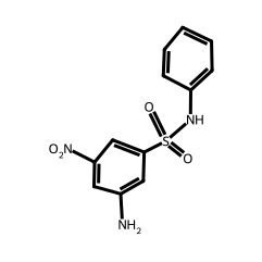 Nc1cc([N+](=O)[O-])cc(S(=O)(=O)Nc2ccccc2)c1